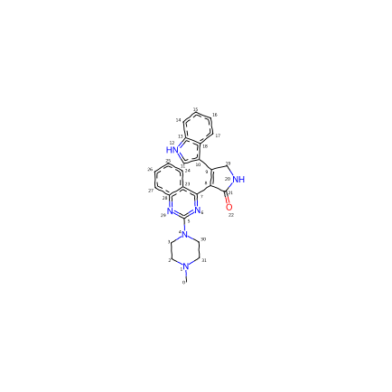 CN1CCN(c2nc(C3=C(c4c[nH]c5ccccc45)CNC3=O)c3ccccc3n2)CC1